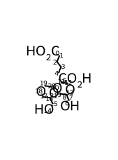 O=C(O)CCCCC(=O)O.OCC1COCCO1.OCC1COCCO1